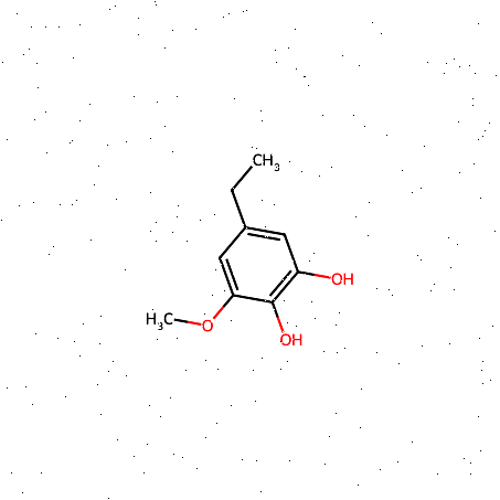 CCc1cc(O)c(O)c(OC)c1